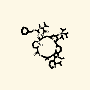 CCn1c(-c2cccnc2C(C)C)c2c3cc(ccc31)-c1cc(cc(O[Si](C(C)C)(C(C)C)C(C)C)c1)C[C@H](NC(=O)[C@H](C(C)C)N(C)C(=O)OCc1ccccc1)C(=O)N1CCC[C@H](N1)C(=O)OCC(C)(C)C2